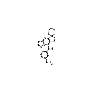 Nc1cccc(Nc2c3c(nc4ccnn24)C2(CCCCC2)CC3)c1